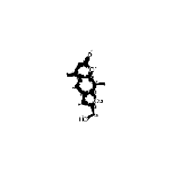 Cc1cc(=O)oc2c(C)c3oc(CO)cc3cc12